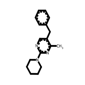 Cc1nc(N2CCCCC2)ncc1Cc1ccccc1